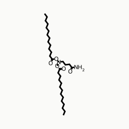 CCCCCCCCCCCCCC(=O)ON(CCCC(N)=O)OC(=O)CCCCCCCCCCCCC